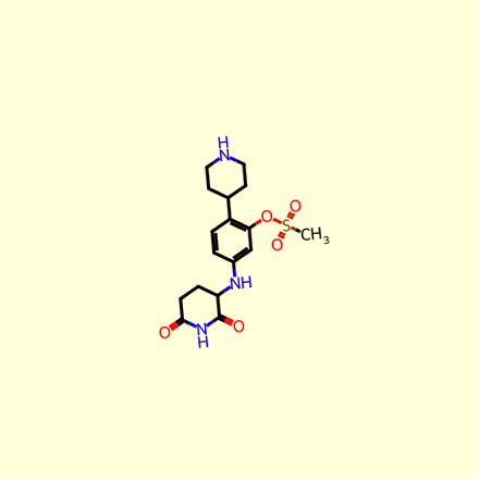 CS(=O)(=O)Oc1cc(NC2CCC(=O)NC2=O)ccc1C1CCNCC1